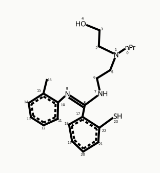 CCCN(CCO)CCN/C(=N/c1ccccc1C)c1ccccc1S